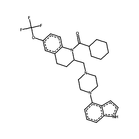 O=C(C1CCCCC1)N1c2ccc(OC(F)(F)F)cc2CCC1CN1CCN(c2cccc3[nH]ccc23)CC1